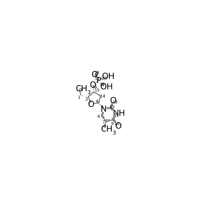 CC[C@H]1O[C@@H](n2cc(C)c(=O)[nH]c2=O)C[C@H]1OP(=O)(O)O